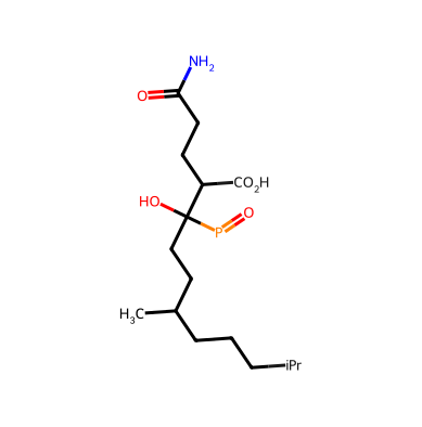 CC(C)CCCC(C)CCC(O)(P=O)C(CCC(N)=O)C(=O)O